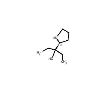 CCC(O)(CC)[C@@H]1CCCN1